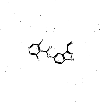 CC(Oc1ccc2[nH]nc(C=O)c2c1)c1c(F)cncc1Cl